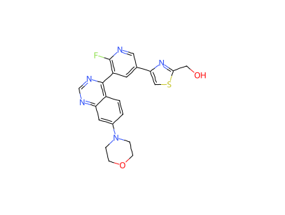 OCc1nc(-c2cnc(F)c(-c3ncnc4cc(N5CCOCC5)ccc34)c2)cs1